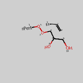 C=CCC.CCCCCOOCC(O)CO